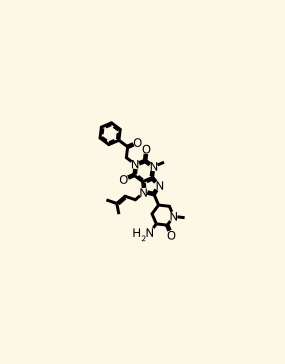 CC(C)=CCn1c(C2CC(N)C(=O)N(C)C2)nc2c1c(=O)n(CC(=O)c1ccccc1)c(=O)n2C